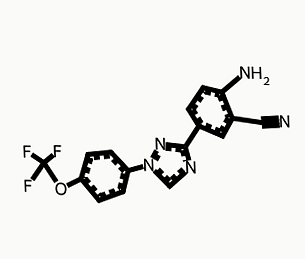 N#Cc1cc(-c2ncn(-c3ccc(OC(F)(F)F)cc3)n2)ccc1N